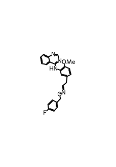 COc1ccc(CC=NOCc2ccc(F)cc2)cc1Nc1ncnc2ccccc12